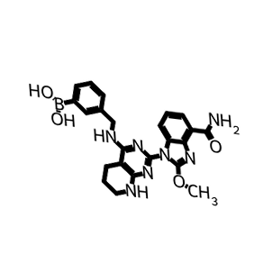 COc1nc2c(C(N)=O)cccc2n1-c1nc2c(c(NCc3cccc(B(O)O)c3)n1)CCCN2